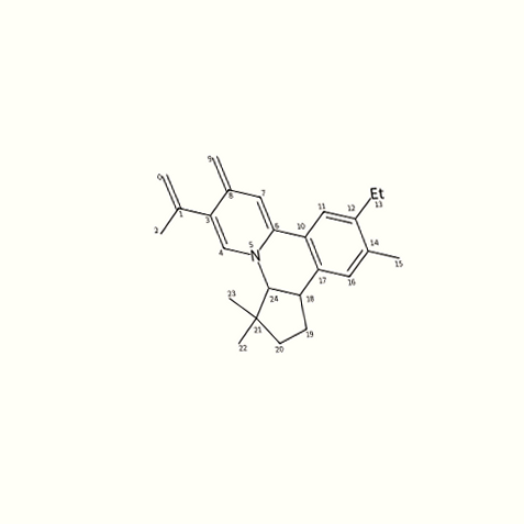 C=C(C)C1=CN2C(=CC1=C)c1cc(CC)c(C)cc1C1CCC(C)(C)C12